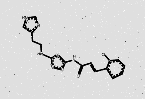 O=C(C=Cc1ccccc1Cl)Nc1nnc(NCCc2c[nH]cn2)s1